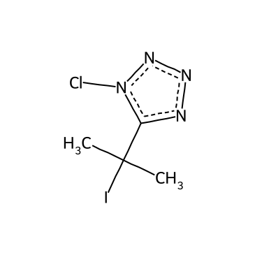 CC(C)(I)c1nnnn1Cl